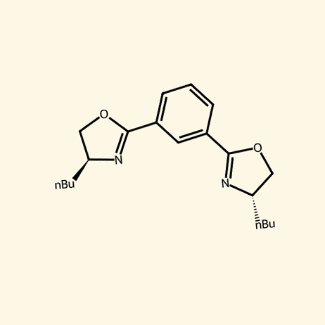 CCCC[C@H]1COC(c2cccc(C3=N[C@@H](CCCC)CO3)c2)=N1